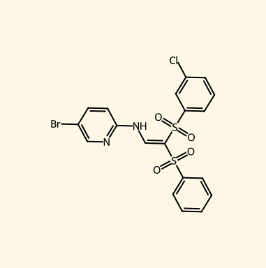 O=S(=O)(C(=CNc1ccc(Br)cn1)S(=O)(=O)c1cccc(Cl)c1)c1ccccc1